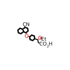 CCOC(CC(=O)O)c1ccc(Oc2ccc(C#N)c3ccccc23)cc1